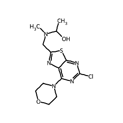 CC(O)N(C)Cc1nc2c(N3CCOCC3)nc(Cl)nc2s1